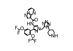 O=C(Nc1cn(Cc2nnnn2C2CCNCC2)nc1-c1cc(OC(F)F)ccc1OC(F)F)c1cnn2cccnc12